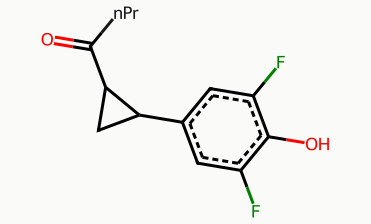 CCCC(=O)C1CC1c1cc(F)c(O)c(F)c1